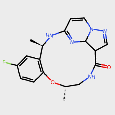 C[C@H]1CNC(=O)C2C=NN3C=CC(=NC23)N[C@H](C)c2cc(F)ccc2O1